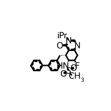 CC(C)n1cnc2c(c1=O)[C@@H](Cc1cccc(-c3ccccc3)c1)[C@@H](NS(C)(=O)=O)C(F)C2